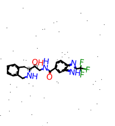 O=C(NC[C@@H](O)[C@@H]1Cc2ccccc2CN1)c1ccc2nc(C(F)(F)F)[nH]c2c1